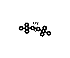 [O]=[Ti]=[O].c1ccc(-c2c3ccccc3c(-c3ccc4c(c3)sc3cc(-c5c6ccccc6c(-c6ccccc6)c6ccccc56)ccc34)c3ccccc23)cc1